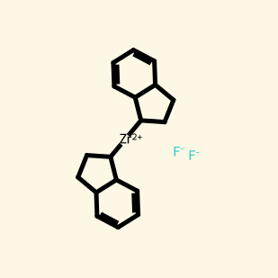 C1=CC2CC[CH]([Zr+2][CH]3CCC4C=CC=CC43)C2C=C1.[F-].[F-]